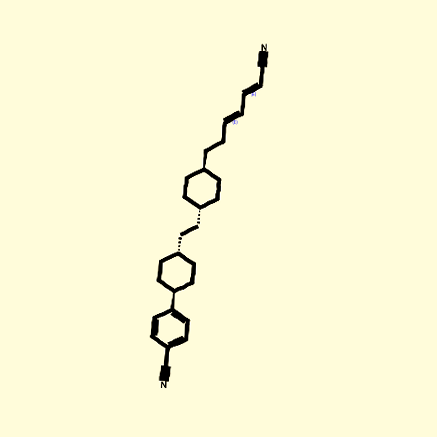 N#C/C=C/C=C/CC[C@H]1CC[C@H](CC[C@H]2CC[C@H](c3ccc(C#N)cc3)CC2)CC1